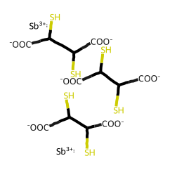 O=C([O-])C(S)C(S)C(=O)[O-].O=C([O-])C(S)C(S)C(=O)[O-].O=C([O-])C(S)C(S)C(=O)[O-].[Sb+3].[Sb+3]